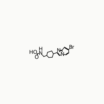 O=C(O)NCC1CCC(c2cn3ccc(Br)cc3n2)CC1